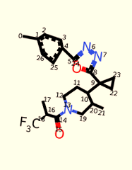 Cc1ccc(-c2nnc(C3(C4CCN(C(=O)[C@H](C)C(F)(F)F)CC4C)CC3)o2)cc1